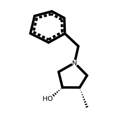 C[C@H]1CN(Cc2ccccc2)C[C@H]1O